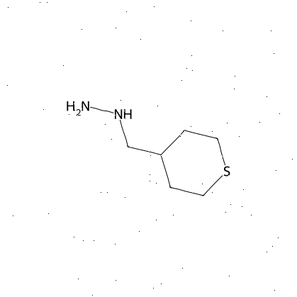 NNCC1CCSCC1